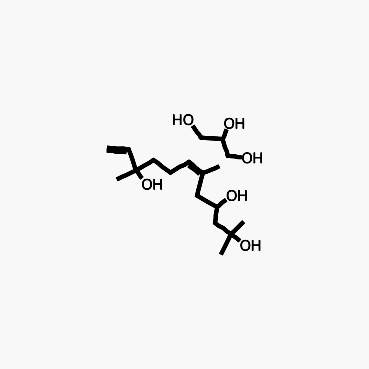 C=CC(C)(O)CCC=C(C)CC(O)CC(C)(C)O.OCC(O)CO